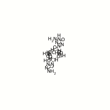 C[C@H]1[C@H]2OP(=O)(S)OC[C@H]3C[C@@H](n4ccc5c(N)ncnc54)[C@H](O)[C@@H]3OP(=O)(S)OC[C@H]1O[C@H]2n1cnc2c(=O)[nH]c(N)nc21